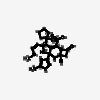 CO/N=C\C(=O)NC1(c2csc(N)n2)S[C@H]2CC(=O)N2C(C(=O)[O-])=C1C[N+]1(C)CCCC1